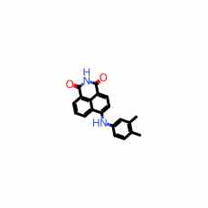 Cc1ccc(Nc2ccc3c4c(cccc24)C(=O)NC3=O)cc1C